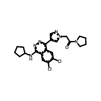 O=C(Cn1cc(-c2nnc(NC3CCCC3)c3cc(Cl)c(Cl)cc23)cn1)N1CCCC1